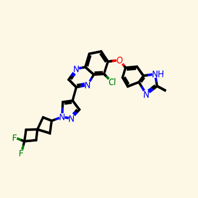 Cc1nc2ccc(Oc3ccc4ncc(-c5cnn(C6CC7(C6)CC(F)(F)C7)c5)nc4c3Cl)cc2[nH]1